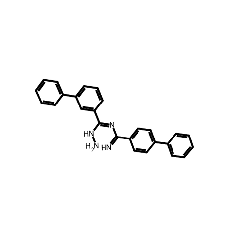 N=C(/N=C(\NN)c1cccc(-c2ccccc2)c1)c1ccc(-c2ccccc2)cc1